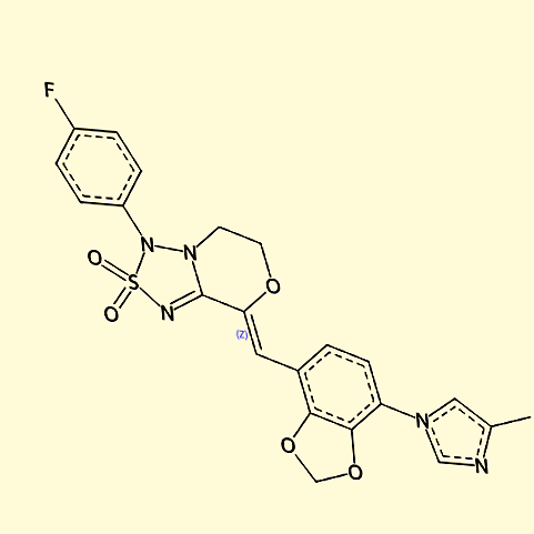 Cc1cn(-c2ccc(/C=C3\OCCN4C3=NS(=O)(=O)N4c3ccc(F)cc3)c3c2OCO3)cn1